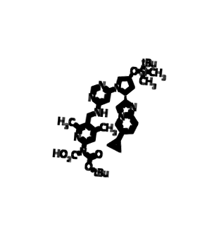 Cc1cc(N(C(=O)O)C(=O)OC(C)(C)C)nc(C)c1CNc1cc(N2C[C@@H](O[Si](C)(C)C(C)(C)C)C[C@@H]2c2cn3cc(C4CC4)ccc3n2)ncn1